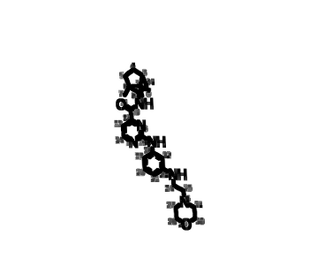 CC1(C)C2CCC1(C)C(NC(=O)c1ccnc(Nc3cccc(NCCN4CCOCC4)c3)n1)C2